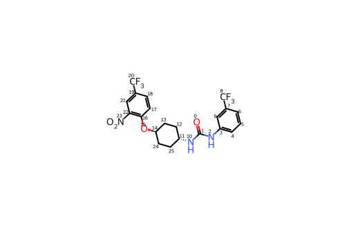 O=C(Nc1cccc(C(F)(F)F)c1)N[C@H]1CC[C@H](Oc2ccc(C(F)(F)F)cc2[N+](=O)[O-])CC1